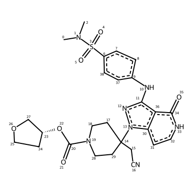 CN(C)S(=O)(=O)c1ccc(Nc2nn(C3(CC#N)CCN(C(=O)O[C@@H]4CCOC4)CC3)c3cc[nH]c(=O)c23)cc1